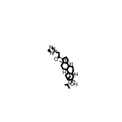 CC(C)OCC[C@]12CC[C@@](C)(O)C[C@H]1CC[C@H]1[C@@H]3CC[C@H](C(=O)Cn4ncnn4)[C@@]3(C)CC[C@@H]12